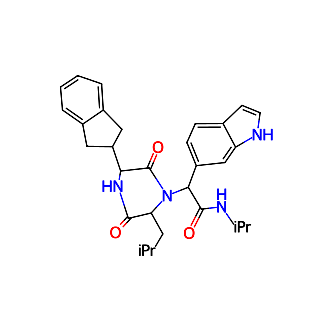 CC(C)CC1C(=O)NC(C2Cc3ccccc3C2)C(=O)N1C(C(=O)NC(C)C)c1ccc2cc[nH]c2c1